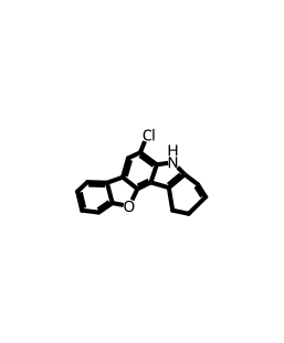 Clc1cc2c3ccccc3oc2c2c3c([nH]c12)C=CCC3